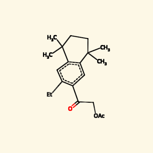 CCc1cc2c(cc1C(=O)COC(C)=O)C(C)(C)CCC2(C)C